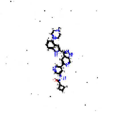 CN1CCN(c2cccc3[nH]c(-c4n[nH]c5cnc(-c6cncc(NC(=O)C7CCC7)c6)cc45)cc23)CC1